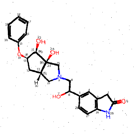 O=C1Cc2cc(C(O)CN3C[C@@H]4C[C@@H](Oc5ccccc5)[C@@H](O)[C@]4(O)C3)ccc2N1